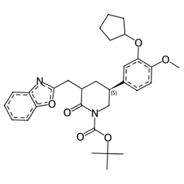 COc1ccc([C@@H]2CC(Cc3nc4ccccc4o3)C(=O)N(C(=O)OC(C)(C)C)C2)cc1OC1CCCC1